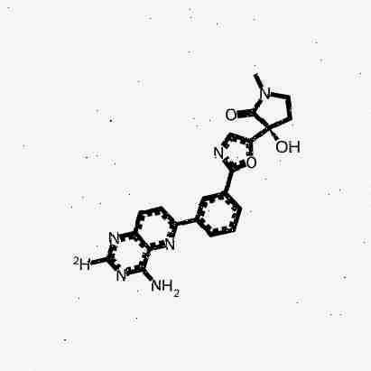 [2H]c1nc(N)c2nc(-c3cccc(-c4ncc([C@@]5(O)CCN(C)C5=O)o4)c3)ccc2n1